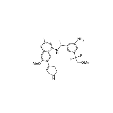 COCC(F)(F)c1cc(N)cc([C@@H](C)Nc2nc(C)nc3cc(OC)c(C4=CCNCC4)cc23)c1